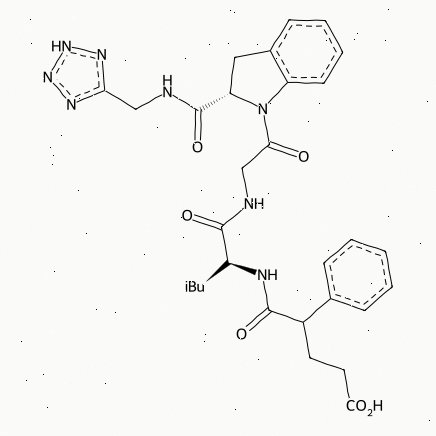 CC[C@H](C)[C@H](NC(=O)C(CCC(=O)O)c1ccccc1)C(=O)NCC(=O)N1c2ccccc2C[C@H]1C(=O)NCc1nn[nH]n1